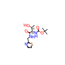 C[C@H](O)[C@@H](NC(=O)OC(C)(C)C)C(=O)NCc1nccs1